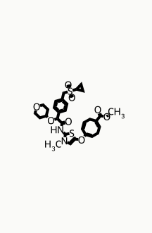 COC(=O)/C1=C/C/C=C(OC2=CN(C)C(NC(=O)C(OC3CCOCC3)c3ccc(CS(=O)(=O)C4CC4)cc3)S2)\C=C/C1